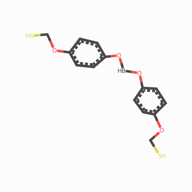 SCOc1ccc(OBOc2ccc(OCS)cc2)cc1